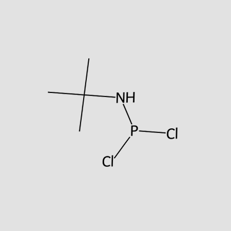 CC(C)(C)NP(Cl)Cl